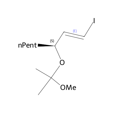 CCCCC[C@@H](/C=C/I)OC(C)(C)OC